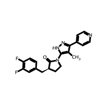 Cc1c(-c2ccncc2)n[nH]c1N1CC[C@@H](Cc2ccc(F)c(F)c2)C1=O